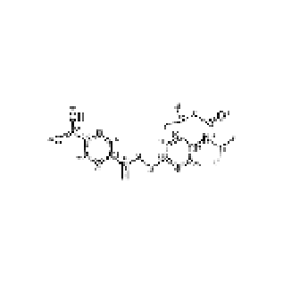 CC(C)N1C(=O)CC(C)(C)c2cc(CCNc3ccc(C(=O)O)cc3)ccc21